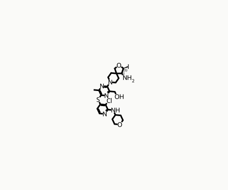 Cc1nc(N2CCC3(CC2)CO[C@@H](I)[C@H]3N)c(CO)nc1Sc1ccnc(NC2CCOCC2)c1Cl